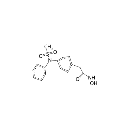 CS(=O)(=O)N(c1ccccc1)c1ccc(CC(=O)NO)cc1